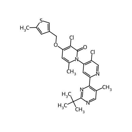 Cc1cc(COc2cc(C)n(-c3cc(-c4nc(C(C)(C)C)ncc4C)ncc3Cl)c(=O)c2Cl)cs1